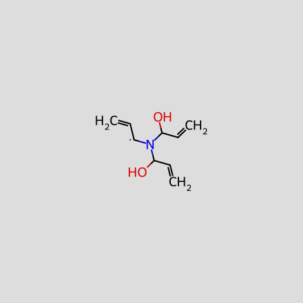 C=C[CH]N(C(O)C=C)C(O)C=C